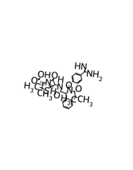 CC(C)C(=O)N(Oc1ccc(C(=N)N)cc1)C(C(=O)NC1C(=O)N2[C@@H]1SC(C)(C)[C@@H]2C(=O)O)c1ccccc1